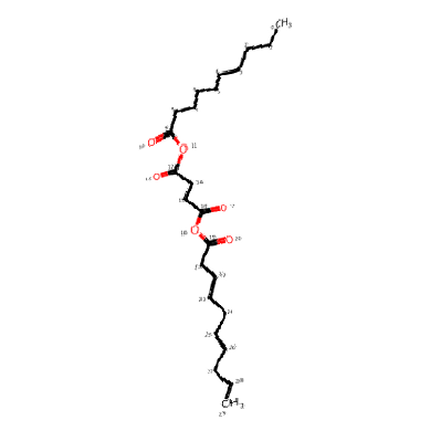 CCCCCCCCCC(=O)OC(=O)CCC(=O)OC(=O)CCCCCCCCC